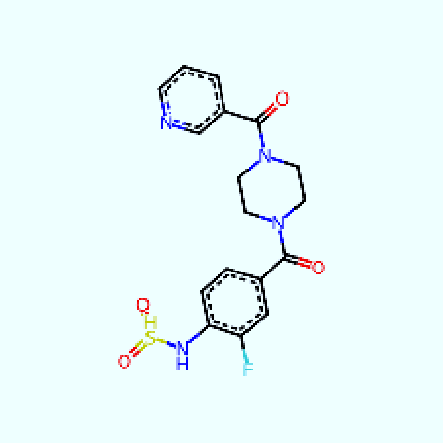 O=C(c1cccnc1)N1CCN(C(=O)c2ccc(N[SH](=O)=O)c(F)c2)CC1